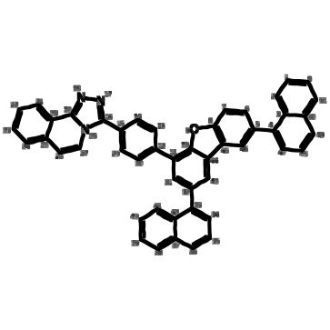 c1ccc2c(-c3ccc4oc5c(-c6ccc(-c7nnc8c9ccccc9ccn78)cc6)cc(-c6cccc7ccccc67)cc5c4c3)cccc2c1